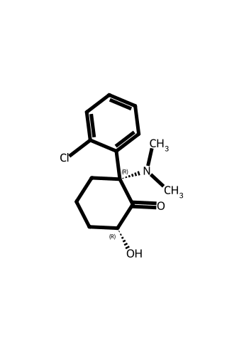 CN(C)[C@@]1(c2ccccc2Cl)CCC[C@@H](O)C1=O